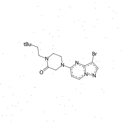 CC(C)(C)CCN1CCN(c2ccn3ncc(Br)c3n2)CC1=O